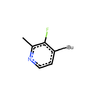 CCC(C)c1ccnc(C)c1F